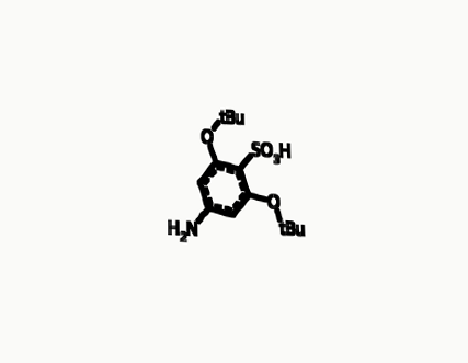 CC(C)(C)Oc1cc(N)cc(OC(C)(C)C)c1S(=O)(=O)O